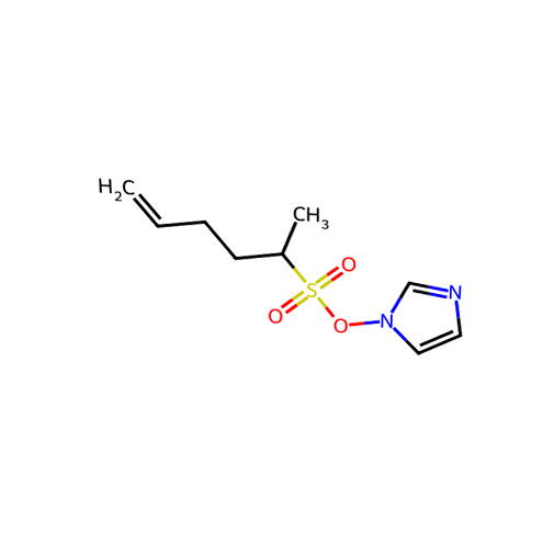 C=CCCC(C)S(=O)(=O)On1ccnc1